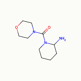 NC1CCCCN1C(=O)N1CCOCC1